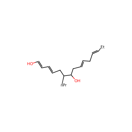 CCC=CCC=CCC(O)C(CC=CC=CO)CCC